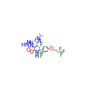 CC(C)n1ccc(C2=C(n3nn[nH]c3=O)C(=O)NC(c3ccc(OCCCC(F)(F)F)cc3F)(C(F)(F)F)C2)n1